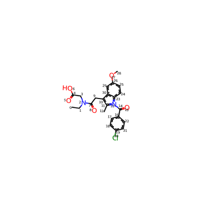 CCN(CC(=O)O)C(=O)Cc1c(C)n(C(=O)c2ccc(Cl)cc2)c2ccc(OC)cc12